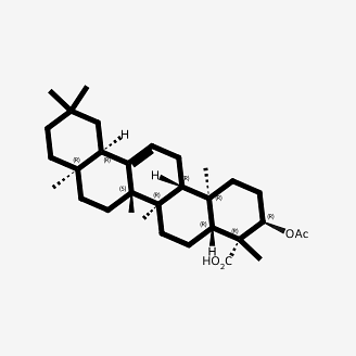 CC(=O)O[C@@H]1CC[C@@]2(C)[C@@H](CC[C@]3(C)[C@@H]2CC=C2[C@@H]4CC(C)(C)CC[C@]4(C)CC[C@]23C)[C@@]1(C)C(=O)O